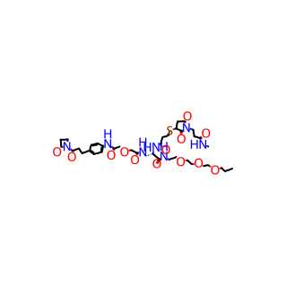 CCCOCCOCCOCCNC(=O)[C@H](CNC(=O)COCC(=O)Nc1ccc(CCC(=O)N2CCC2=O)cc1)NC(=O)CCSC1CC(=O)N(CCC(=O)NC)C1=O